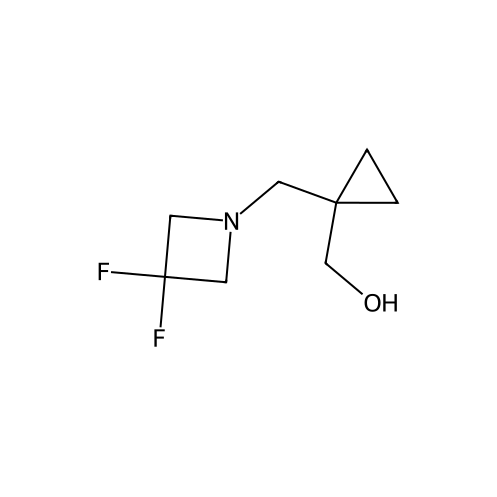 OCC1(CN2CC(F)(F)C2)CC1